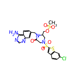 CS(=O)(=O)OCC1CN(S(=O)(=O)c2cc3ccc(Cl)cc3s2)CC(=O)N1Cc1ccc2c(N)ncnc2c1